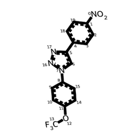 O=[N+]([O-])c1ccc(-c2cn(-c3ccc(OC(F)(F)F)cc3)nn2)cc1